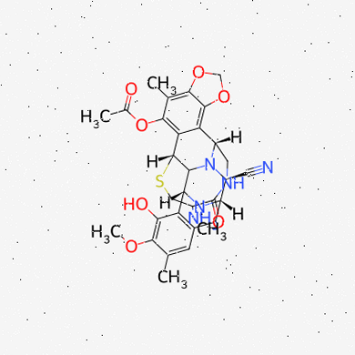 COc1c(C)cc2c(c1O)[C@@H]1C3[C@@H]4SCC(N)C(=O)NC[C@@H](c5c6c(c(C)c(OC(C)=O)c54)OCO6)N3[C@@H](C#N)[C@H](C2)N1C